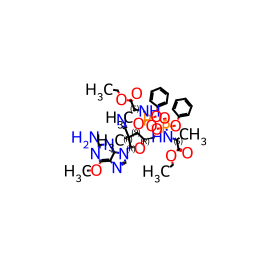 CCOC(=O)[C@H](C)NP(=O)(OC[C@H]1O[C@@H](n2cnc3c(OC)nc(N)nc32)[C@](C)(C#N)[C@@H]1OP(=O)(N[C@@H](C)C(=O)OCC)Oc1ccccc1)Oc1ccccc1